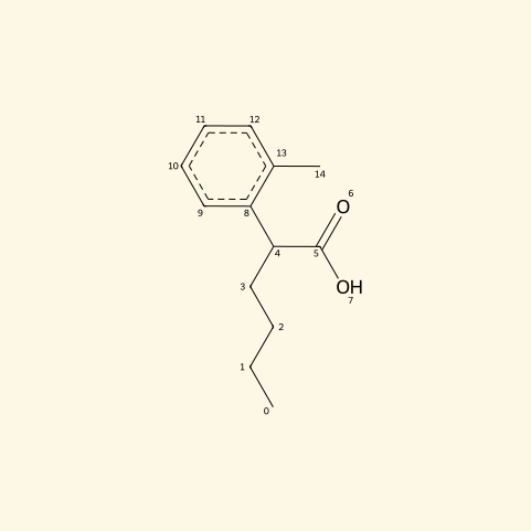 CCCCC(C(=O)O)c1ccccc1C